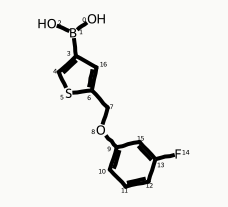 OB(O)c1csc(COc2cccc(F)c2)c1